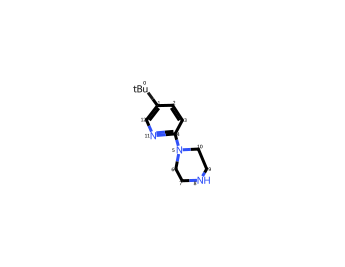 CC(C)(C)c1ccc(N2CCNCC2)nc1